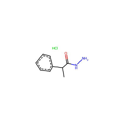 CC(C(=O)NN)c1ccccc1.Cl